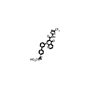 O=C(Nc1nnc(C(F)(F)F)s1)c1cn(-c2cccc(-c3ccc([C@@H]4C[C@H]4C(=O)O)cc3)c2)c2ncccc2c1=O